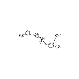 N#Cc1ccc(/C=C/C(=O)Nc2cn(Cc3cccc(C(F)(F)F)c3)cn2)cc1OCCO